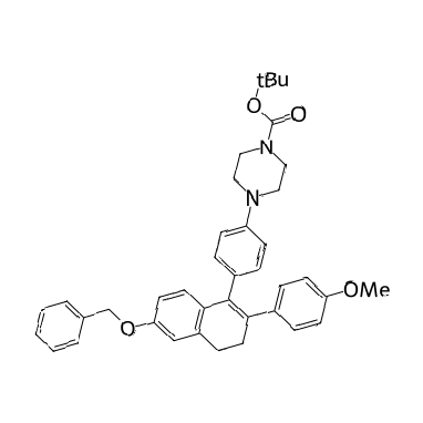 COc1ccc(C2=C(c3ccc(N4CCN(C(=O)OC(C)(C)C)CC4)cc3)c3ccc(OCc4ccccc4)cc3CC2)cc1